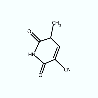 CC1C=C(C#N)C(=O)NC1=O